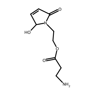 NCCC(=O)OCCN1C(=O)C=CC1O